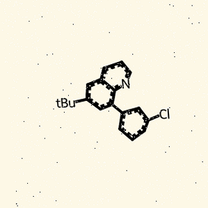 CC(C)(C)c1cc(-c2cccc(Cl)c2)c2ncccc2c1